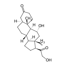 C[C@]12CCC(=O)C[C@@H]1CC[C@@H]1[C@@H]2[C@H](O)C[C@]2(C)[C@@H](C(=O)CO)CC[C@@H]12